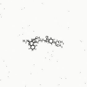 CCN(CC)c1ccc(C(=O)NCCCCn2c(C)nc3c(N)nc4ccccc4c32)cc1